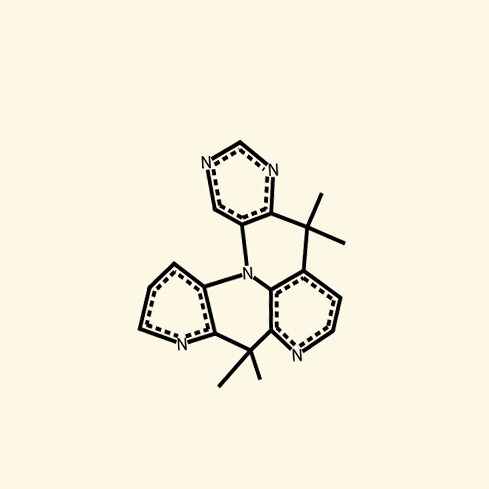 CC1(C)c2ccnc3c2N(c2cncnc21)c1cccnc1C3(C)C